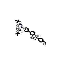 COc1cc(C2=CCN(/C(=N/C(=O)OC(C)(C)C)NC(=O)OC(C)(C)C)CC2)ccc1NC(=O)c1ccc(C=O)cc1